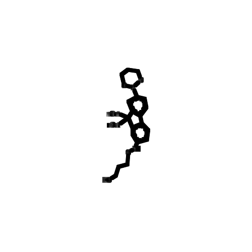 CCCCCCCCC1(CCCCCCCC)c2cc(BOCCCO)ccc2-c2ccc(B3OCCCO3)cc21